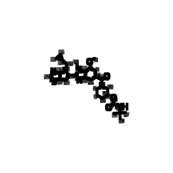 COc1cc(C(=O)N2CCC[C@@H](OC(=O)NC(C)(C)C)C2)cc2nc(-c3cc4scnc4n3CC3CC3)n(C)c12